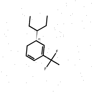 CCC(CC)[C@@H]1C=C(C(C)(F)F)C=CC1